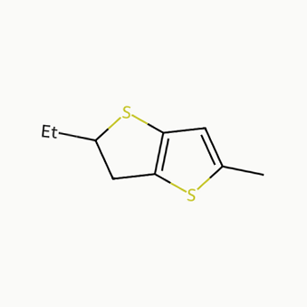 CCC1Cc2sc(C)cc2S1